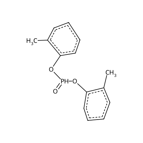 Cc1ccccc1O[PH](=O)Oc1ccccc1C